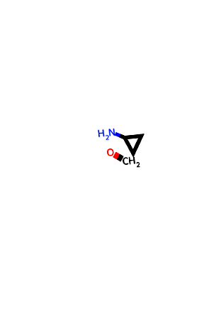 C=O.NC1CC1